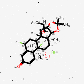 CC(=O)OCC(=O)[C@@]12OC(C)(C)O[C@@H]1C[C@H]1[C@@H]3C[C@H](F)C4=CC(=O)C=C[C@]4(C)[C@@]3(F)[C@@H](O)C[C@@]12C.F